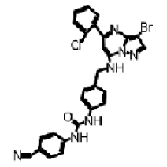 N#Cc1ccc(NC(=O)Nc2ccc(CNc3cc(-c4ccccc4Cl)nc4c(Br)cnn34)cc2)cc1